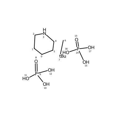 C1CCNCC1.CC(C)(C)C.O=P(O)(O)O.O=P(O)(O)O